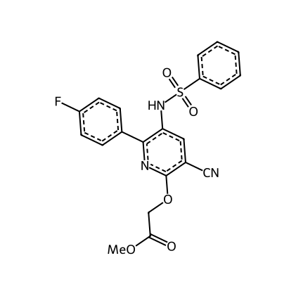 COC(=O)COc1nc(-c2ccc(F)cc2)c(NS(=O)(=O)c2ccccc2)cc1C#N